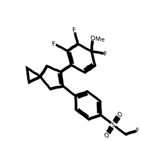 COC1(F)C=CC(C2=C(c3ccc(S(=O)(=O)CF)cc3)CC3(CC3)C2)=C(F)C1F